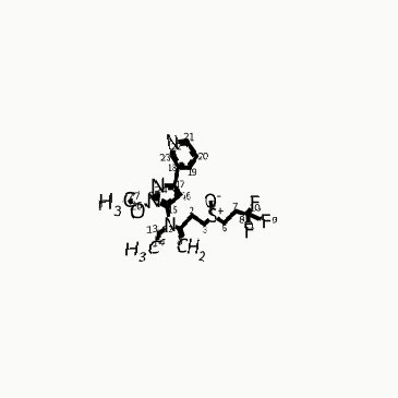 C=C(CC[S+]([O-])CCC(F)(F)F)N(CC)c1cc(-c2cccnc2)nn1OC